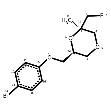 C[C@]1(CF)COC[C@@H](COc2ccc(Br)cc2)O1